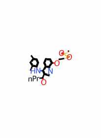 CCCC(=O)c1cnc2c(OCCS(C)(=O)=O)cccc2c1Nc1ccc(C)cc1C